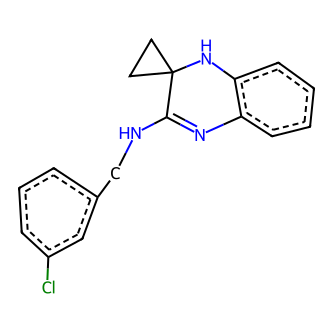 Clc1cccc(CNC2=Nc3ccccc3NC23CC3)c1